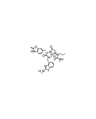 C=C1Nc2ccc(C[C@H]3C(=O)N(Cc4cccc5sc(N)nc45)C[C@H]4N3C(=O)CN4N(CCC)C(=O)NC)cc2O1